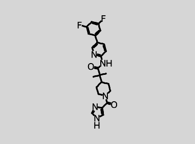 CC(C)(C(=O)Nc1ccc(-c2cc(F)cc(F)c2)cn1)C1CCN(C(=O)c2c[nH]cn2)CC1